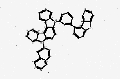 c1cc(-c2cccc3oc4ccccc4c23)cc(-n2c3ccccc3c3c4c5ccccc5n(-c5ccc6ccccc6c5)c4ccc32)c1